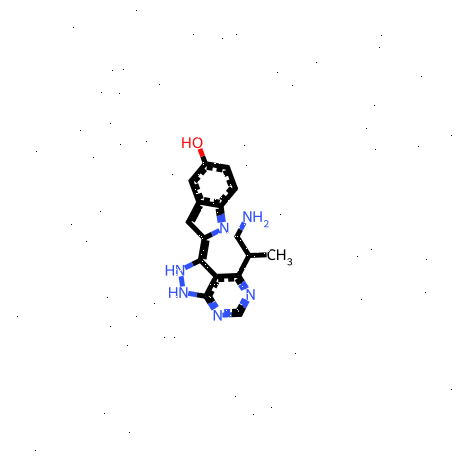 CC(CN)c1ncnc2c1/C(=C1/C=c3cc(O)ccc3=N1)NN2